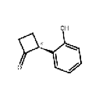 O=C1CC[C@H]1c1ccccc1O